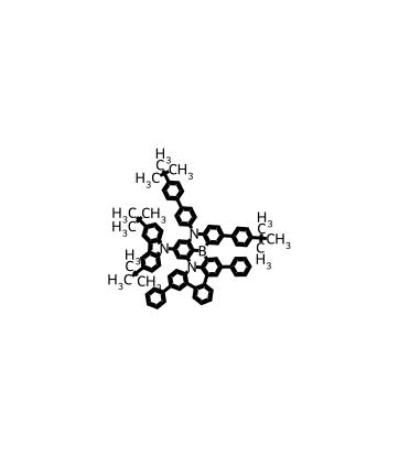 CC(C)(C)c1ccc(-c2ccc(N3c4ccc(-c5ccc(C(C)(C)C)cc5)cc4B4c5cc(-c6ccccc6)cc6c5N(c5ccc(-c7ccccc7)cc5-c5ccccc5-6)c5cc(-n6c7ccc(C(C)(C)C)cc7c7cc(C(C)(C)C)ccc76)cc3c54)cc2)cc1